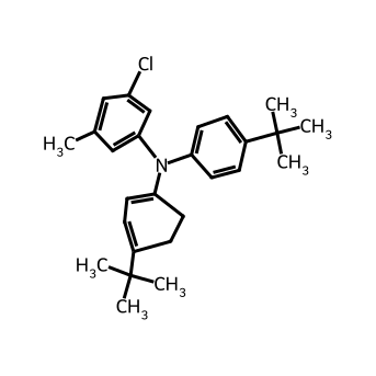 Cc1cc(Cl)cc(N(C2=CC=C(C(C)(C)C)CC2)c2ccc(C(C)(C)C)cc2)c1